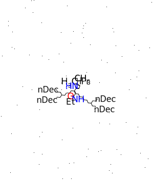 CCCCCCCCCCCCC(CCCCCCCCCCCC)CCCCCC/C(C(=O)NCC)=C(/CCCCC(CCCCCCCCCCCC)CCCCCCCCCCCC)c1ccc(C(C)(C)C(C)C)[nH]1